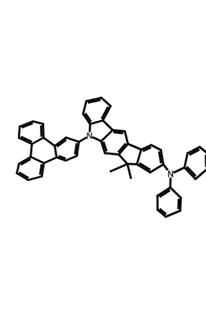 CC1(C)c2cc(N(c3ccccc3)c3ccccc3)ccc2-c2cc3c4ccccc4n(-c4ccc5c6ccccc6c6ccccc6c5c4)c3cc21